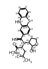 CC(C)C[C@@H](C(N)=O)N(C(=N)c1ccc2c(c1)Nc1ccccc1S2)[C@H]1CCOC1O